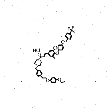 CCOc1ccc(OCCc2ccc(CN3CCN(C(=O)/C=C/c4cc(C)c(Oc5ccc(OCc6ccc(C(F)(F)F)cc6)cn5)c(Cl)c4)CC3)cc2)cc1.Cl